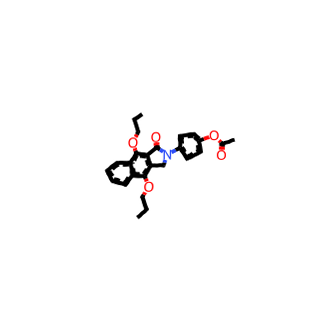 CCCOc1c2c(c(OCCC)c3ccccc13)C(=O)N(c1ccc(OC(C)=O)cc1)C2